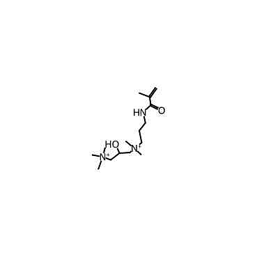 C=C(C)C(=O)NCCC[N+](C)(C)CC(O)C[N+](C)(C)C